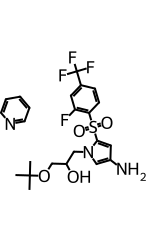 CC(C)(C)OCC(O)Cn1cc(N)cc1S(=O)(=O)c1ccc(C(F)(F)F)cc1F.c1ccncc1